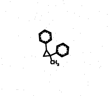 CC1(c2ccccc2)CC1c1ccccc1